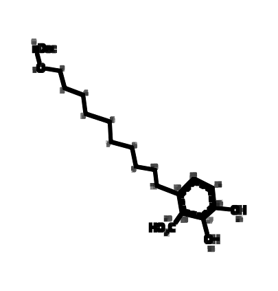 CCCCCCCCCCOCCCCCCCCCCc1ccc(O)c(O)c1C(=O)O